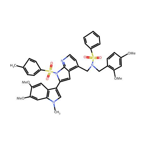 COc1ccc(CN(Cc2ccnc3c2cc(-c2cn(C)c4cc(OC)c(OC)cc24)n3S(=O)(=O)c2ccc(C)cc2)S(=O)(=O)c2ccccc2)c(OC)c1